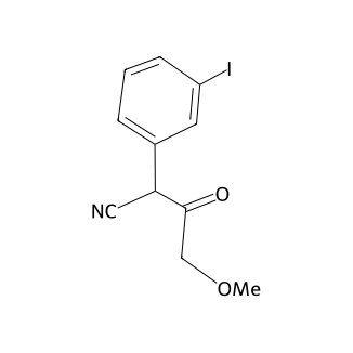 COCC(=O)C(C#N)c1cccc(I)c1